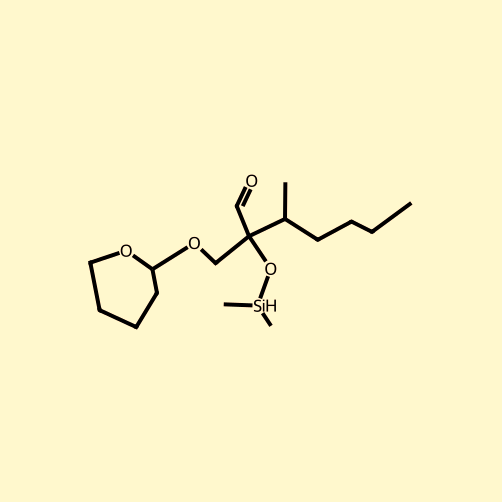 CCCCC(C)C(C=O)(COC1CCCCO1)O[SiH](C)C